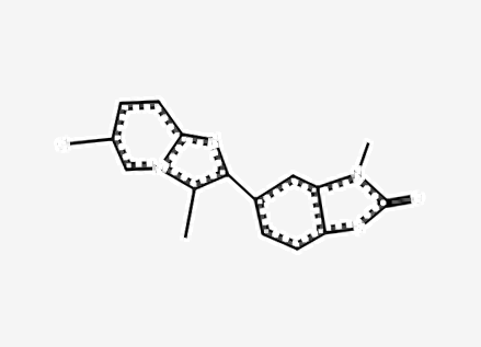 Cc1c(-c2ccc3sc(=O)n(C)c3c2)nc2ccc(Cl)cn12